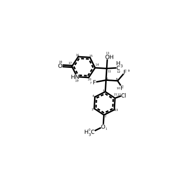 COc1ccc(C(F)(C(F)F)C(C)(O)c2ccc(=O)[nH]c2)c(Cl)c1